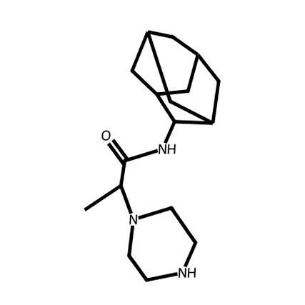 CC(C(=O)NC1C2CC3CC(C2)CC1C3)N1CCNCC1